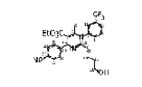 CCOC(=O)C1=C(C)N(c2cccc(C(F)(F)F)c2)C(SCCCO)=NC1c1ccc(C#N)cc1